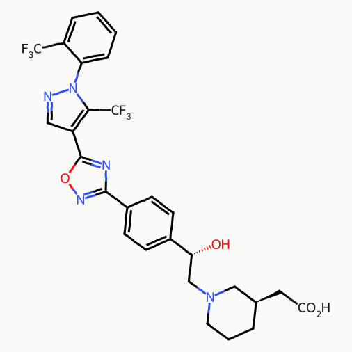 O=C(O)C[C@H]1CCCN(C[C@@H](O)c2ccc(-c3noc(-c4cnn(-c5ccccc5C(F)(F)F)c4C(F)(F)F)n3)cc2)C1